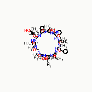 CC(C)CC1C(=O)N[C@H](C(=O)N2CCCCC2)CC(=O)N[C@H](C(C)C)C(=O)N(C)[C@@H](CCc2ccccc2)C(=O)N[C@@H](CC(C)C)C(=O)N(C)[C@@H](CC(C)C)C(=O)N[C@@H]([C@@H](C)O)C(=O)N(C)CC(=O)N(C)[C@@H](CC(C)C)C(=O)N[C@@H](COCCC(C)(C)O)C(=O)N(C)[C@@H](Cc2ccccc2)C(=O)N1C